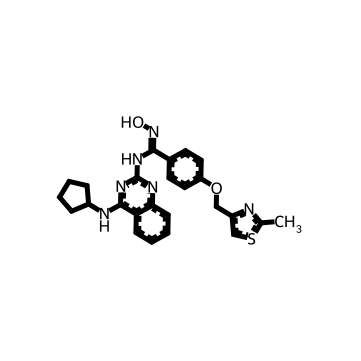 Cc1nc(COc2ccc(/C(=N/O)Nc3nc(NC4CCCC4)c4ccccc4n3)cc2)cs1